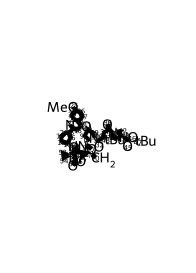 C=C[C@@H]1C[C@]1(NC(=O)[C@@H]1C[C@@H](Oc2cc(-c3ccccc3)nc3cc(OC)ccc23)CN1C(=O)[C@@H](CC(=O)N1CC2CC1CN2C(=O)OC(C)(C)C)C(C)(C)C)C(=O)N(C1CC1)[SH](=O)=O